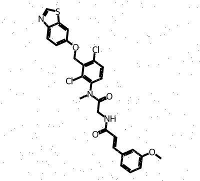 COc1cccc(C=CC(=O)NCC(=O)N(C)c2ccc(Cl)c(COc3ccc4ncsc4c3)c2Cl)c1